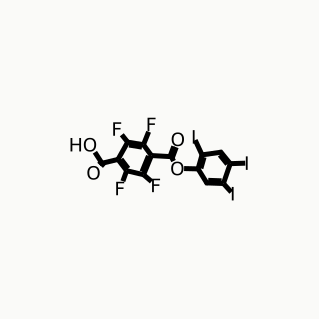 O=C(O)c1c(F)c(F)c(C(=O)Oc2cc(I)c(I)cc2I)c(F)c1F